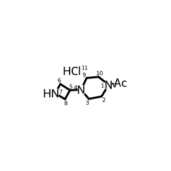 CC(=O)N1CCN(C2CNC2)CC1.Cl